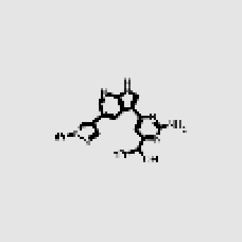 CCCC(O)c1cc(-c2c[nH]c3ncc(-c4cnn(C(C)C)c4)cc23)nc(N)n1